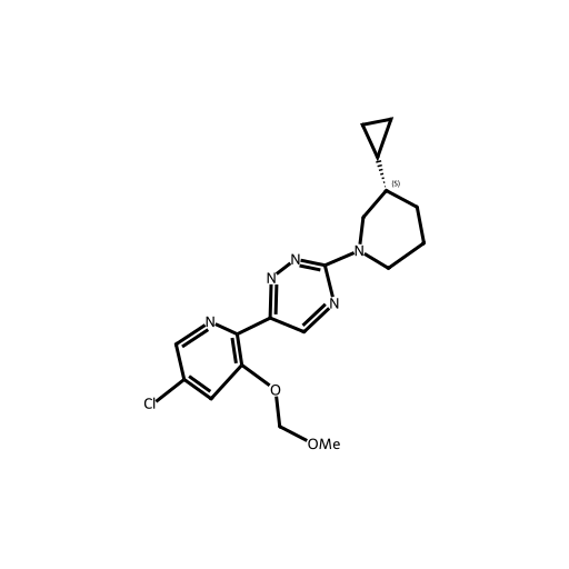 COCOc1cc(Cl)cnc1-c1cnc(N2CCC[C@@H](C3CC3)C2)nn1